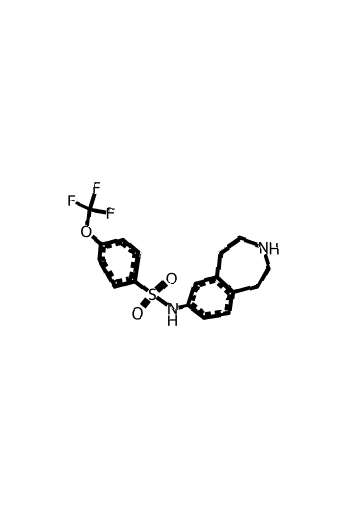 O=S(=O)(Nc1ccc2c(c1)CCNCC2)c1ccc(OC(F)(F)F)cc1